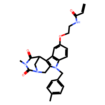 C=CC(=O)NCCOc1ccc2c(c1)c1c(n2Cc2ccc(C)cc2)CN2CC1C(=O)N(C)C2=O